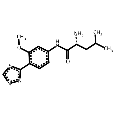 COc1cc(NC(=O)[C@H](N)CC(C)C)ccc1-c1nncs1